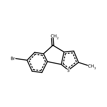 C=C1c2cc(Br)ccc2-c2sc(C)cc21